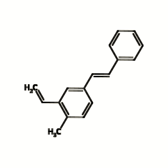 C=Cc1cc(C=Cc2ccccc2)ccc1C